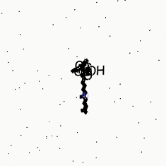 CCOP(=O)(OCC)C(CCCCC/C=C(\C)CCC=C(C)C)S(=O)(=O)O